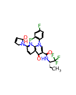 CC[C@H](NC(=O)c1cn(-c2ccc(F)cc2F)c2nc(N3CC=CC3O)ccc2c1=O)C(F)(F)F